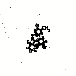 Cc1cn2c(nc1=O)CN=C(c1c(F)cccc1F)c1c-2ccc(Br)c1Cl